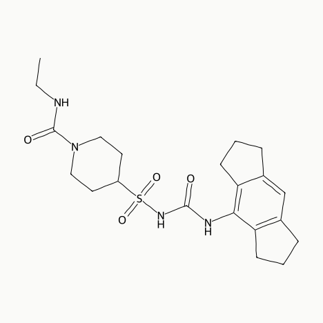 CCNC(=O)N1CCC(S(=O)(=O)NC(=O)Nc2c3c(cc4c2CCC4)CCC3)CC1